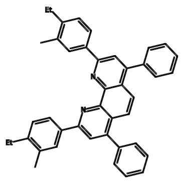 CCc1ccc(-c2cc(-c3ccccc3)c3ccc4c(-c5ccccc5)cc(-c5ccc(CC)c(C)c5)nc4c3n2)cc1C